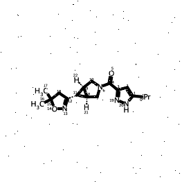 CC(C)c1cc(C(=O)N2C[C@@H]3[C@H](C2)[C@H]3C2=NOC(C)(C)C2)n[nH]1